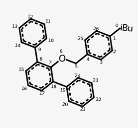 CCC(C)c1ccc(COc2c(-c3ccccc3)cccc2-c2ccccc2)cc1